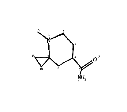 CN1CCC(C(N)=O)CC12CC2